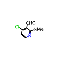 CNc1nccc(Cl)c1C=O